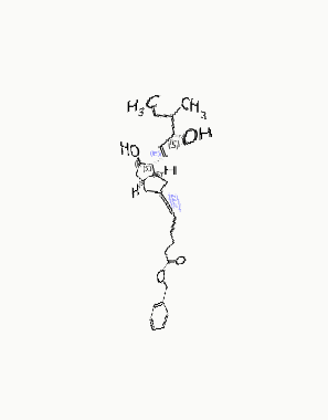 CCC(C)[C@H](O)/C=C/[C@@H]1[C@H]2C/C(=C/CCCC(=O)OCc3ccccc3)C[C@H]2C[C@H]1O